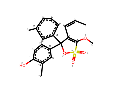 C/C=C\C1=C(OC)S(=O)(=O)OC1(c1cccc(C)c1)c1ccc(O)c(C)c1